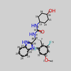 COc1cc(F)c(C[C@@H](NC(=O)NC2CCC(O)CC2)c2nc3ccccc3[nH]2)c(F)c1